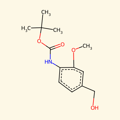 COc1cc(CO)ccc1NC(=O)OC(C)(C)C